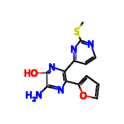 CSc1nccc(-c2nc(O)c(N)nc2-c2ccco2)n1